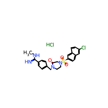 CNC(=N)c1ccc(CN2CCN(S(=O)(=O)c3ccc4cc(Cl)ccc4c3)CC2=O)cc1.Cl